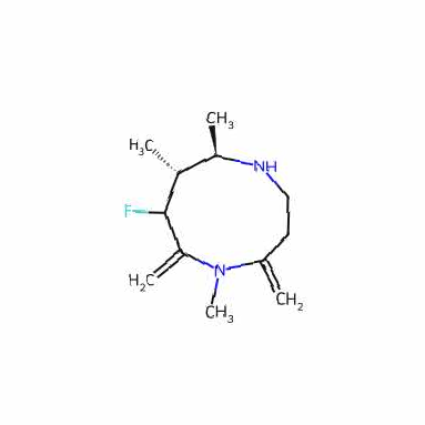 C=C1CCN[C@H](C)[C@@H](C)C(F)C(=C)N1C